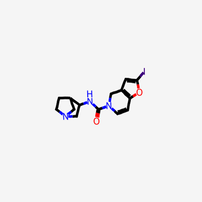 O=C(NC1CN2CCC1C2)N1C=Cc2oc(I)cc2C1